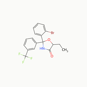 CCC1OC(c2cccc(C(F)(F)F)c2)(c2ccccc2Br)NC1=O